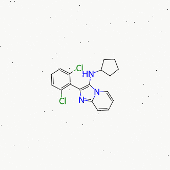 Clc1cccc(Cl)c1-c1nc2ccccn2c1NC1CCCC1